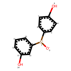 [O-][S+](c1ccc(O)cc1)c1cccc(O)c1